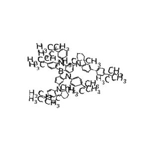 CC(C)(C)c1ccc(-c2ccc3c(c2)C2(C)CCCCC2(C)N3c2cc3c4c(c2)N(c2cccc(C(C)(C)C)c2)c2cc(C(C)(C)C)ccc2B4c2ccc(N4c5ccc(C(C)(C)C)cc5C5(C)CCCCC45C)cc2N3c2ccc(C(C)(C)C)cc2)cc1